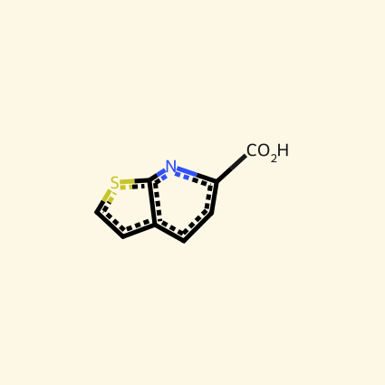 O=C(O)c1ccc2ccsc2n1